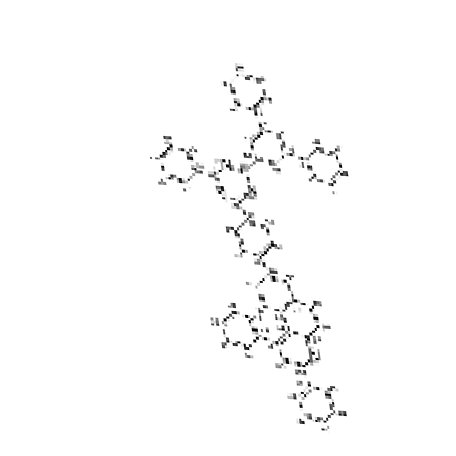 c1ccc(-c2cc(-c3ccccc3)cc(-c3nc(-c4ccccc4)nc(-c4ccc(-c5ccc6c(ccc7nc(-c8ccccc8)cc(-c8ccccc8)c76)c5)cc4)n3)c2)cc1